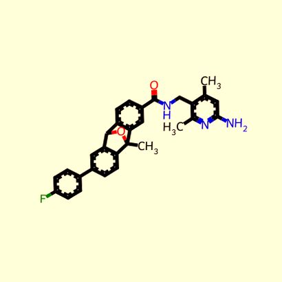 Cc1cc(N)nc(C)c1CNC(=O)c1ccc2c(c1)C1(C)OC2c2cc(-c3ccc(F)cc3)ccc21